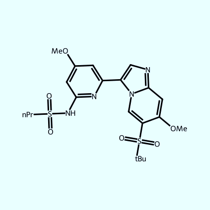 CCCS(=O)(=O)Nc1cc(OC)cc(-c2cnc3cc(OC)c(S(=O)(=O)C(C)(C)C)cn23)n1